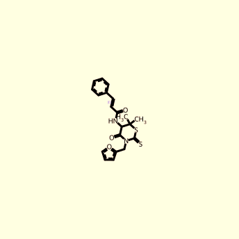 CC1(C)SC(=S)N(Cc2ccco2)C(=O)C1NC(=O)/C=C/c1ccccc1